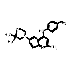 Cc1cc(Nc2ccc(C=O)cc2)c2cc(N3CCOC(C)(C)C3)ccc2n1